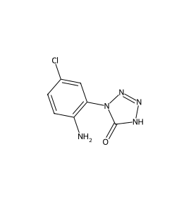 Nc1ccc(Cl)cc1-n1nn[nH]c1=O